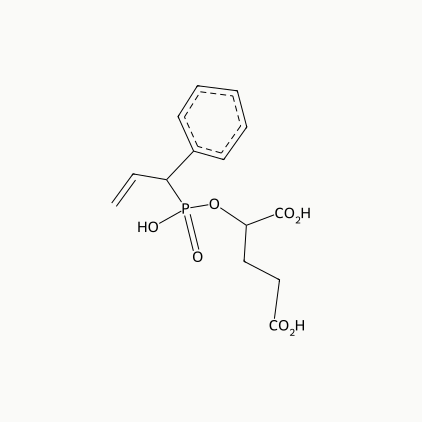 C=CC(c1ccccc1)P(=O)(O)OC(CCC(=O)O)C(=O)O